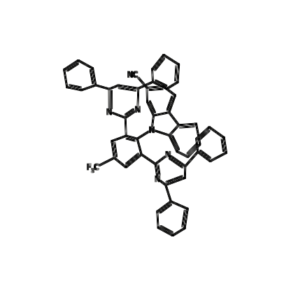 N#Cc1ccc2c3ccccc3n(-c3c(-c4nc(-c5ccccc5)cc(-c5ccccc5)n4)cc(C(F)(F)F)cc3-c3nc(-c4ccccc4)cc(-c4ccccc4)n3)c2c1